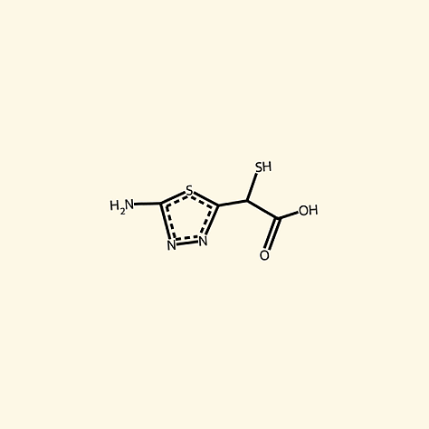 Nc1nnc(C(S)C(=O)O)s1